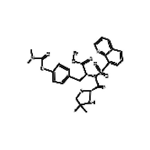 CC(C)OC(=O)[C@H](Cc1ccc(OC(=O)N(C)C)cc1)N(C(=O)[C@H]1NC(C)(C)CS1)S(=O)(=O)c1cccc2cccnc12